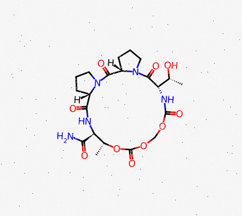 C[C@@H](O)[C@@H]1NC(=O)OCOC(=O)O[C@H](C)[C@@H](C(N)=O)NC(=O)[C@@H]2CCCN2C(=O)[C@@H]2CCCN2C1=O